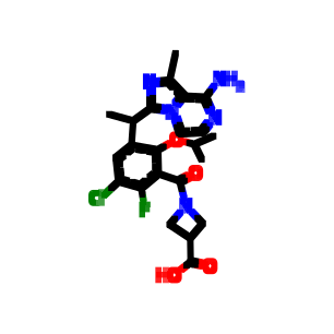 Cc1nc(C(C)c2cc(Cl)c(F)c(C(=O)N3CC(C(=O)O)C3)c2OC(C)C)n2ccnc(N)c12